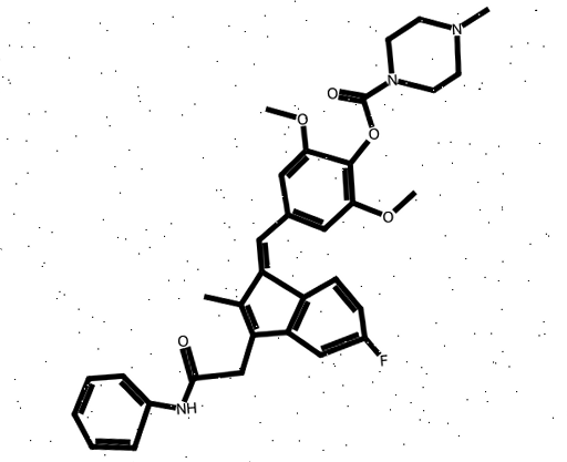 COc1cc(/C=C2/C(C)=C(CC(=O)Nc3ccccc3)c3cc(F)ccc32)cc(OC)c1OC(=O)N1CCN(C)CC1